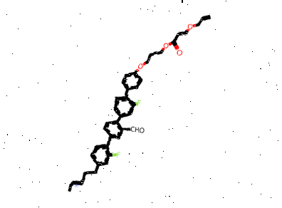 C=CCOCCC(=O)OCCCOc1ccc(-c2ccc(-c3ccc(-c4ccc(CC/C=C/C)cc4F)cc3C=O)cc2F)cc1